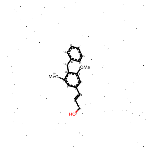 COc1cc(/C=C/CO)cc(OC)c1Cc1ccccc1